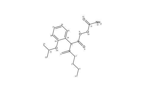 C=C(CCCC)C(C(=O)OOC(N)=O)c1ccccc1OC(C)C